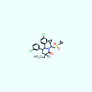 CCC1(CC(=O)O)CC(c2cccc(Cl)c2)C(c2ccc(Cl)cc2)N(C(CS(=O)(=O)C2CC2)C2CC2)C1=O